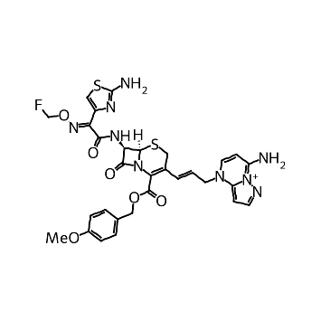 COc1ccc(COC(=O)C2=C(/C=C/Cn3ccc(N)[n+]4nccc3-4)CS[C@@H]3[C@H](NC(=O)/C(=N/OCF)c4csc(N)n4)C(=O)N23)cc1